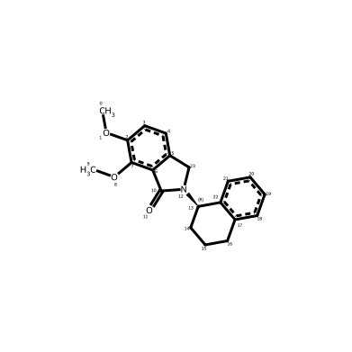 COc1ccc2c(c1OC)C(=O)N([C@@H]1CCCc3ccccc31)C2